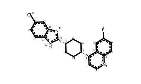 Fc1ccc2nccc([C@H]3CC[C@@H](c4nc5cc(Cl)ccc5[nH]4)CC3)c2c1